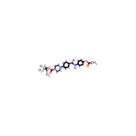 CC(=O)Oc1ccc(NC(=O)c2ccc(N3CCN(C(=O)OC(C)(C)C)CC3)cc2)cc1